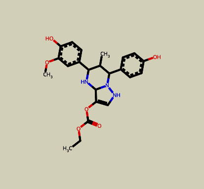 CCOC(=O)OC1=CNN2C1NC(c1ccc(O)c(OC)c1)C(C)C2c1ccc(O)cc1